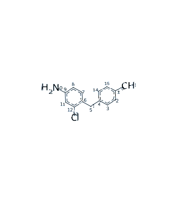 [CH]c1ccc([C]c2ccc(N)cc2Cl)cc1